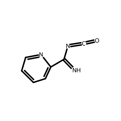 N=C(N=C=O)c1ccccn1